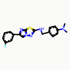 CN(C)c1ccc(CNc2nn3cc(-c4cccc(F)c4)nc3s2)cc1